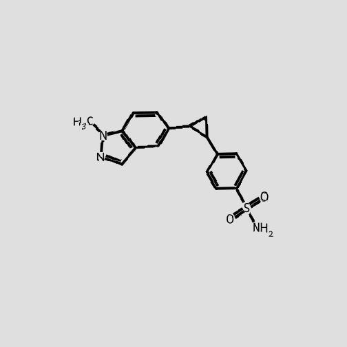 Cn1ncc2cc(C3CC3c3ccc(S(N)(=O)=O)cc3)ccc21